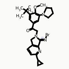 COc1c(N2CCCC2)cc(C(=O)CN2Cc3ccc(C4CC4)nc3/C2=N/Br)cc1C(C)(C)C